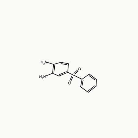 Nc1ccc(S(=O)(=O)c2ccccc2)cc1N